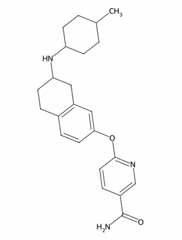 CC1CCC(NC2CCc3ccc(Oc4ccc(C(N)=O)cn4)cc3C2)CC1